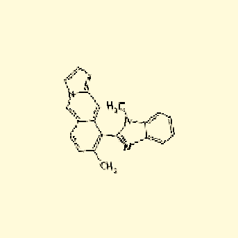 Cc1ccc2cn3cccc3cc2c1-c1nc2ccccc2n1C